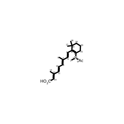 CC(=O)N(C)C1=C(/C=C/C(C)=C/C=C/C(C)=C/C(=O)O)C(C)(C)CCC1